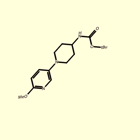 COc1ccc(N2CCC(NC(=O)OC(C)(C)C)CC2)cn1